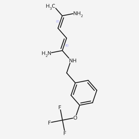 C/C(N)=C/C=C(\N)NCc1cccc(OC(F)(F)F)c1